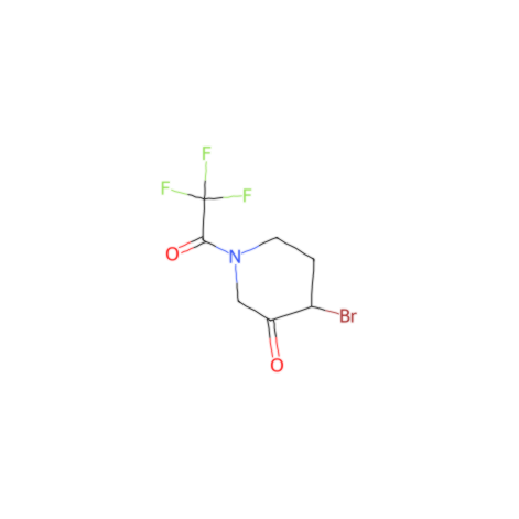 O=C1CN(C(=O)C(F)(F)F)CCC1Br